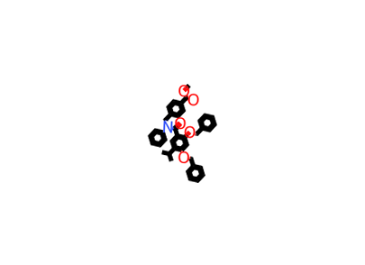 COC(=O)c1ccc(CN(C(=O)c2cc(C(C)C)c(OCc3ccccc3)cc2OCc2ccccc2)c2ccccc2)cc1